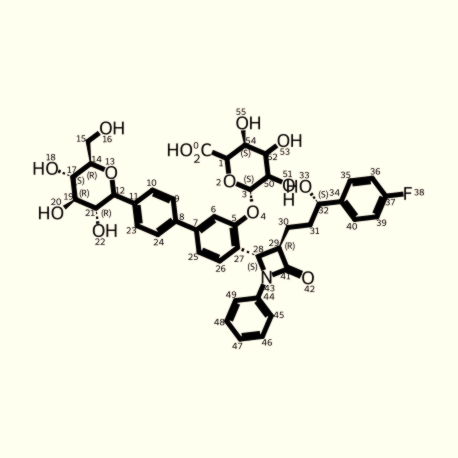 O=C(O)C1O[C@@H](Oc2cc(-c3ccc(C4O[C@H](CO)[C@@H](O)[C@H](O)[C@H]4O)cc3)ccc2[C@@H]2[C@@H](CC[C@H](O)c3ccc(F)cc3)C(=O)N2c2ccccc2)C(O)C(O)[C@@H]1O